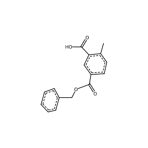 Cc1ccc(C(=O)OCc2ccccc2)cc1C(=O)O